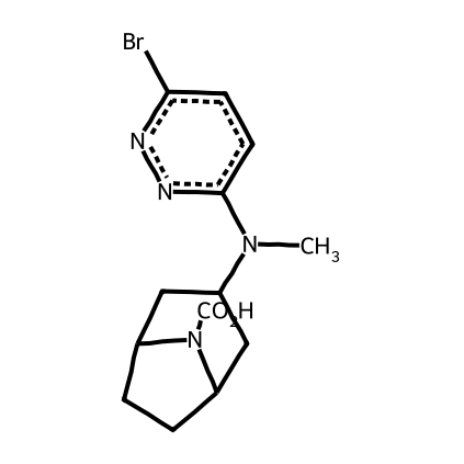 CN(c1ccc(Br)nn1)C1CC2CCC(C1)N2C(=O)O